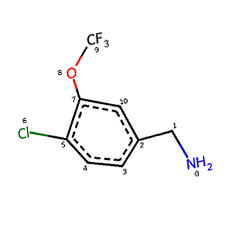 NCc1ccc(Cl)c(OC(F)(F)F)c1